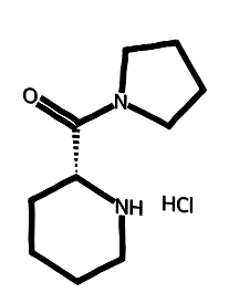 Cl.O=C([C@H]1CCCCN1)N1CCCC1